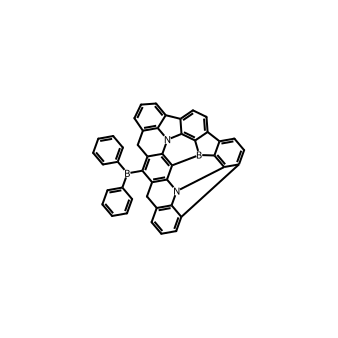 c1ccc(B(c2ccccc2)c2c3c4c5c6c2Cc2cccc7c8ccc9c(c8n-6c27)B5c2c-9ccc5c6cccc(c6n-4c25)C3)cc1